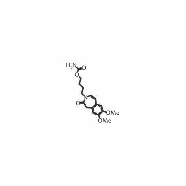 COc1cc2c(cc1OC)CC(=O)N(CCCCOC(N)=O)C=C2